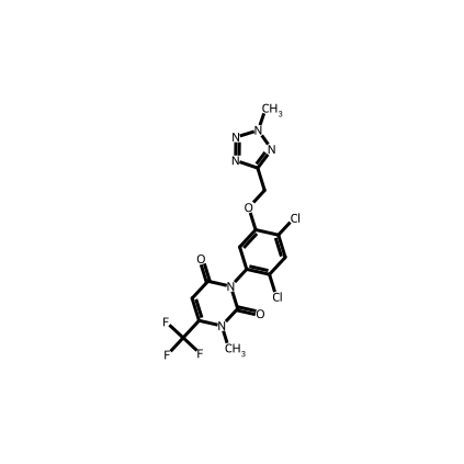 Cn1nnc(COc2cc(-n3c(=O)cc(C(F)(F)F)n(C)c3=O)c(Cl)cc2Cl)n1